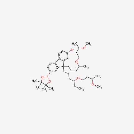 CCC(CCCC1(CCCC(C)OCCC(C)OC)c2cc(Br)ccc2-c2ccc(B3OC(C)(C)C(C)(C)O3)cc21)OCCC(C)OC